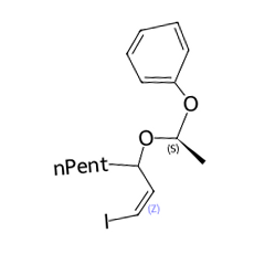 CCCCCC(/C=C\I)O[C@H](C)Oc1ccccc1